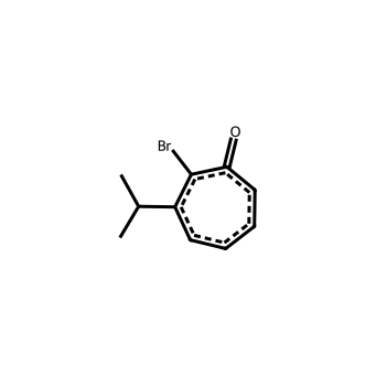 CC(C)c1ccccc(=O)c1Br